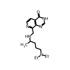 CCN(CC)CCCC(C)NCc1nccc2c(=O)[nH]cnc12